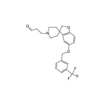 O=CCCN1CCC2(CC1)COc1ccc(OCc3cccc(C(F)(F)F)c3)cc12